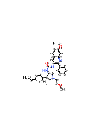 C=C(/C=C\C=C/C)[C@@H]1CN(CCOC)C[C@H]1NC(=O)Nc1cc2ccc(OC)cc2nc1-c1ccccc1